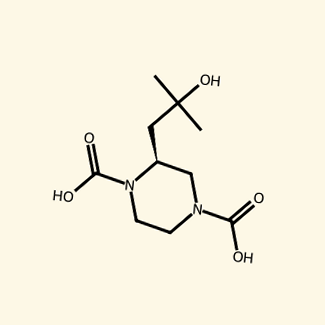 CC(C)(O)C[C@H]1CN(C(=O)O)CCN1C(=O)O